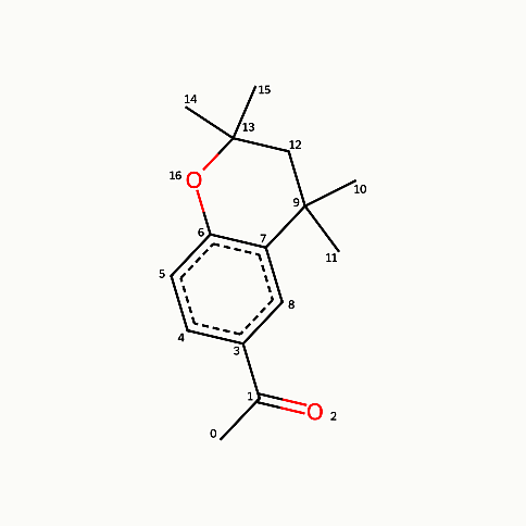 CC(=O)c1ccc2c(c1)C(C)(C)CC(C)(C)O2